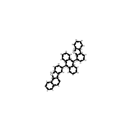 c1ccc2c(c1)ccc1c3cc(-c4c5ccccc5c(-c5cccc6c5oc5ccccc56)c5ccccc45)ccc3oc21